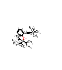 CC(C)[Si](Oc1ccccc1C#C[Si](C)(C)C)(C(C)C)C(C)C